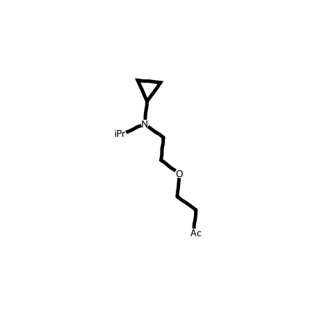 CC(=O)CCOCCN(C(C)C)C1CC1